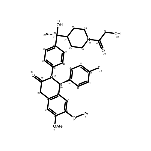 COc1cc2c(cc1OC(C)C)[C@H](c1ccc(Cl)cc1)N(c1ccc([C@@](C)(O)C3CCN(C(=O)CO)CC3)cc1)C(=O)C2